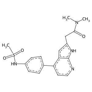 CN(C)C(=O)Cc1cc2c(-c3ccc(NS(C)(=O)=O)cc3)ccnc2[nH]1